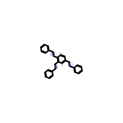 [c]1cc(/C=C/c2ccccc2)[c]c(/C=C/c2ccccc2)c1/C=C/c1ccccc1